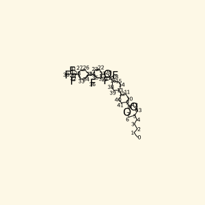 CCCCCC1COC(C2CCC(C3CCC(C(F)(F)Oc4ccc(-c5ccc(C(F)(F)F)cc5)c(F)c4)CC3)CC2)OC1